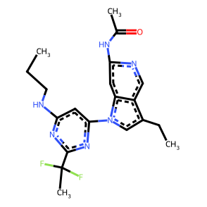 CCCNc1cc(-n2cc(CC)c3cnc(NC(C)=O)cc32)nc(C(C)(F)F)n1